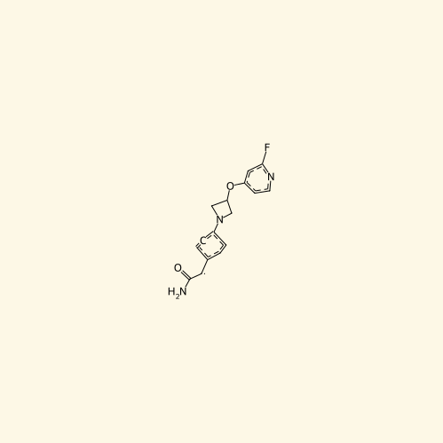 NC(=O)[CH]c1ccc(N2CC(Oc3ccnc(F)c3)C2)cc1